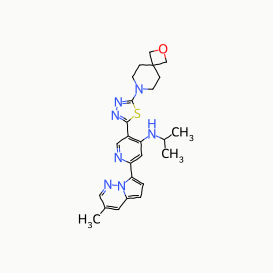 Cc1cnn2c(-c3cc(NC(C)C)c(-c4nnc(N5CCC6(CC5)COC6)s4)cn3)ccc2c1